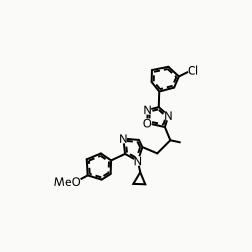 COc1ccc(-c2ncc(CC(C)c3nc(-c4cccc(Cl)c4)no3)n2C2CC2)cc1